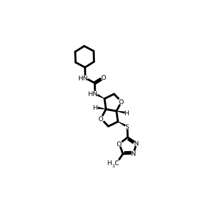 Cc1nnc(S[C@H]2CO[C@H]3[C@@H]2OC[C@@H]3NC(=O)NC2CCCCC2)o1